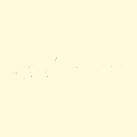 O=C(CSCCCCCCO)c1ccc2[nH]c(=O)oc2c1